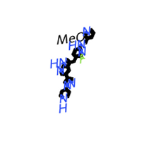 COc1ncccc1CNc1ccc(Cc2c[nH]c3ncc(-c4cnn(C5CCNCC5)c4)cc23)c(F)n1